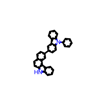 c1ccc(-n2c3ccccc3c3cc(-c4ccc5ccc6[nH]c7ccccc7c6c5c4)ccc32)cc1